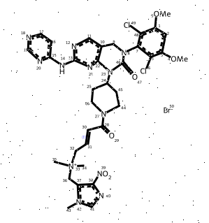 COc1cc(OC)c(Cl)c(N2Cc3cnc(Nc4ccncn4)nc3N(C3CCN(C(=O)/C=C/C[N+](C)(C)Cc4c([N+](=O)[O-])ncn4C)CC3)C2=O)c1Cl.[Br-]